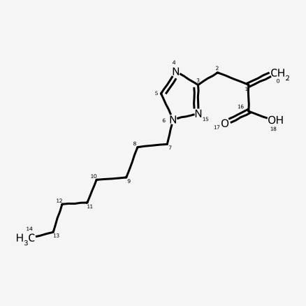 C=C(Cc1ncn(CCCCCCCC)n1)C(=O)O